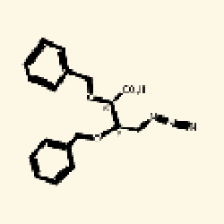 [N-]=[N+]=NC[C@@H](OCc1ccccc1)[C@@H](OCc1ccccc1)C(=O)O